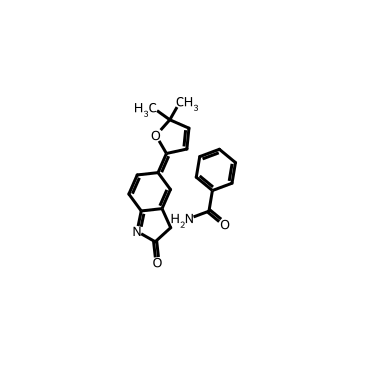 CC1(C)C=C/C(=c2/ccc3c(c2)CC(=O)N=3)O1.NC(=O)c1ccccc1